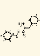 N[C@@H](Cc1ccccc1)C(=O)NCc1ccccc1